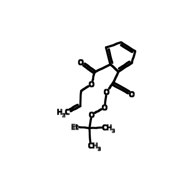 C=CCOC(=O)c1ccccc1C(=O)OOOC(C)(C)CC